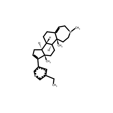 CCc1cncc(C2=CC[C@H]3[C@@H]4CCC5=CCN(C)CC[C@]5(C)[C@H]4CC[C@]23C)c1